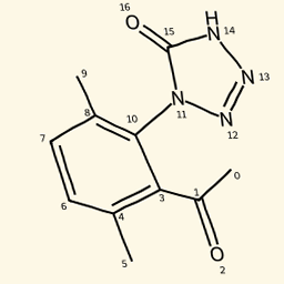 CC(=O)c1c(C)ccc(C)c1-n1nn[nH]c1=O